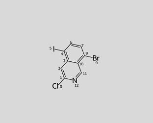 Clc1cc2c(I)ccc(Br)c2cn1